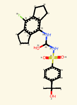 CC(C)(O)c1ccc(S(=O)(=O)NC(O)Nc2c3c(c(F)c4c2CCC4)CCC3)cc1